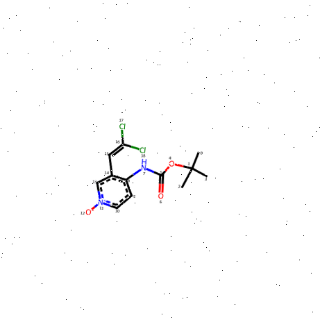 CC(C)(C)OC(=O)Nc1cc[n+]([O-])cc1C=C(Cl)Cl